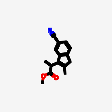 COC(=O)C(C)C1=C(C)Cc2ccc(C#N)cc21